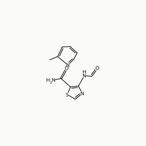 Cc1ccccn1.NC(=O)c1scnc1NC=O